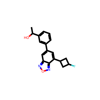 CC(O)c1cccc(-c2cc(C3CC(F)C3)c3nonc3c2)c1